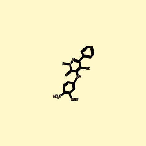 CCn1nc(-c2ccccc2)c(C(C)=O)c(Nc2ccc(C(=O)O)c(OC)c2)c1=O